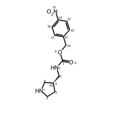 O=C(NC[C@H]1CCNC1)OCc1ccc([N+](=O)[O-])cc1